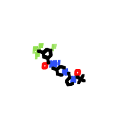 CC(C)(C)C(=O)N1CCC[C@H]1CN1CCC(CNC(=O)c2cc(F)cc(C(F)(F)F)c2)CC1